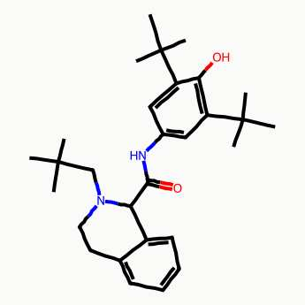 CC(C)(C)CN1CCc2ccccc2C1C(=O)Nc1cc(C(C)(C)C)c(O)c(C(C)(C)C)c1